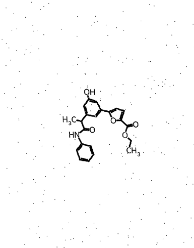 CCOC(=O)c1ccc(-c2cc(O)cc(C(C)C(=O)Nc3ccccc3)c2)o1